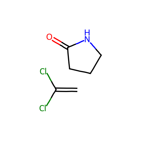 C=C(Cl)Cl.O=C1CCCN1